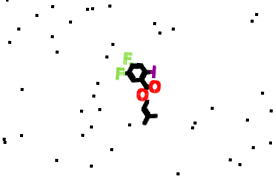 CC(C)=CCOC(=O)c1cc(F)c(F)cc1I